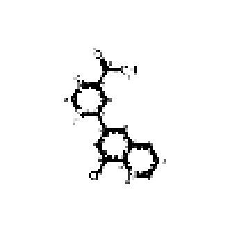 O=C(O)c1cc(-c2cc(Cl)c3ncccc3c2)ncn1